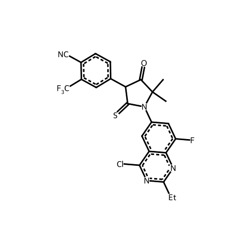 CCc1nc(Cl)c2cc(N3C(=S)C(c4ccc(C#N)c(C(F)(F)F)c4)C(=O)C3(C)C)cc(F)c2n1